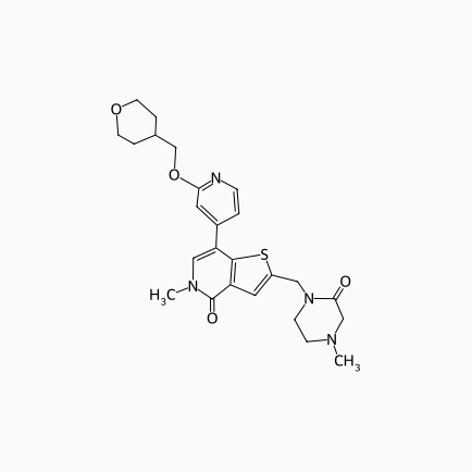 CN1CCN(Cc2cc3c(=O)n(C)cc(-c4ccnc(OCC5CCOCC5)c4)c3s2)C(=O)C1